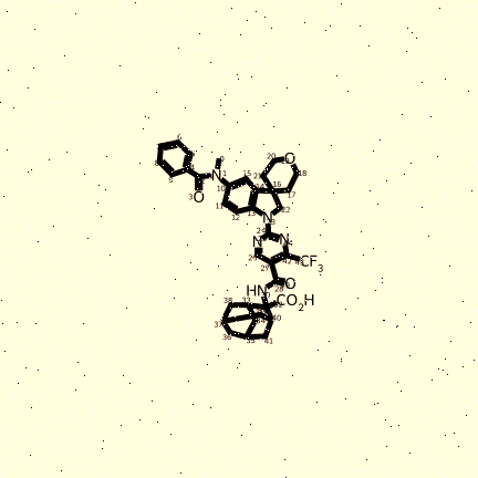 CN(C(=O)c1ccccc1)c1ccc2c(c1)C1(CCOCC1)CN2c1ncc(C(=O)NC2(C(=O)O)C3CC4CC(C3)CC2C4)c(C(F)(F)F)n1